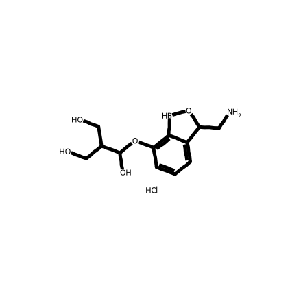 Cl.NCC1OBc2c(OC(O)C(CO)CO)cccc21